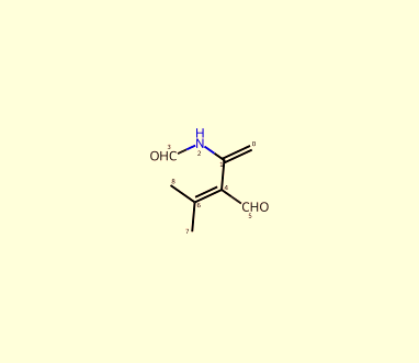 C=C(NC=O)C(C=O)=C(C)C